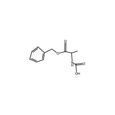 CC(NC(=O)O)C(=O)OCc1ccccc1